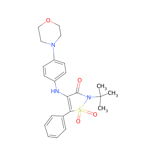 CC(C)(C)N1C(=O)C(Nc2ccc(N3CCOCC3)cc2)=C(c2ccccc2)S1(=O)=O